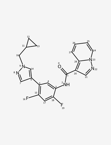 O=C(Nc1cc(-c2cnn(CC3CC3)c2)c(F)cc1F)c1cnn2ccccc12